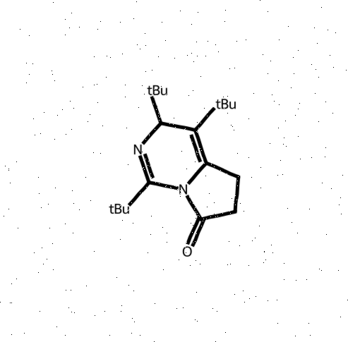 CC(C)(C)C1=NC(C(C)(C)C)C(C(C)(C)C)=C2CCC(=O)N12